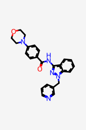 O=C(Nc1nn(Cc2cccnc2)c2ccccc12)c1ccc(N2CCOCC2)cc1